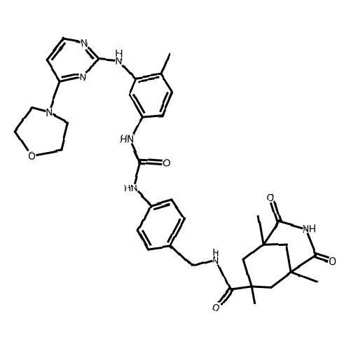 Cc1ccc(NC(=O)Nc2ccc(CNC(=O)C3(C)CC4(C)CC(C)(C3)C(=O)NC4=O)cc2)cc1Nc1nccc(N2CCOCC2)n1